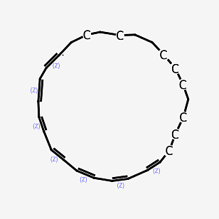 [C]1=C/C=C\C=C/C=C\C=C/C=C\C=C/CCCCCCCCCCCCC\1